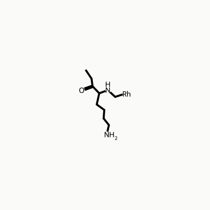 CCC(=O)C(CCCCN)N[CH2][Rh]